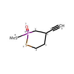 C#CC1CCSP(=O)(SC)C1